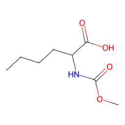 CCCCC(NC(=O)OC)C(=O)O